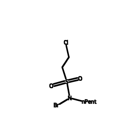 CCCCCN(Br)S(=O)(=O)CCCl